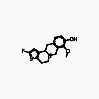 COc1c(O)ccc2c1CN1CCc3sc(F)cc3C1C2